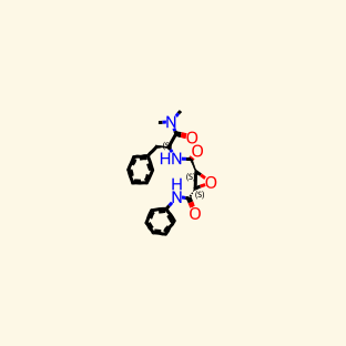 CN(C)C(=O)[C@H](Cc1ccccc1)NC(=O)[C@H]1O[C@@H]1C(=O)Nc1ccccc1